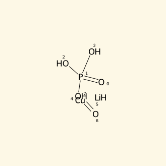 O=P(O)(O)O.[LiH].[O]=[Cu]